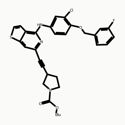 CC(C)(C)OC(=O)N1CCC(C#Cc2cc3sccc3c(Nc3ccc(OCc4cccc(F)c4)c(Cl)c3)n2)C1